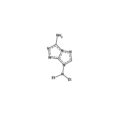 CCN(CC)n1cnn2c(N)nnc12